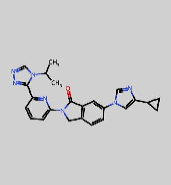 CC(C)n1cnnc1-c1cccc(N2Cc3ccc(-n4cnc(C5CC5)c4)cc3C2=O)n1